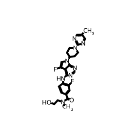 Cc1cnc(N2CCC(n3cc(F)c4c(Nc5ccc(C(=O)N(C)CCO)cc5F)ncnc43)CC2)nc1